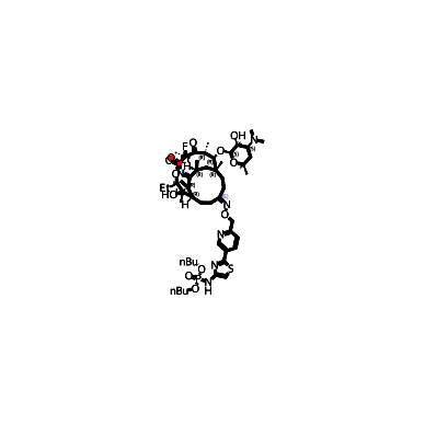 CCCCOP(=O)(Nc1csc(-c2ccc(CO/N=C3\CC[C@@H]4[C@@H](C)/C(=N/C(=O)CC)[C@H](C)C[C@@](C)(CC3)[C@H](O[C@@H]3O[C@H](C)C[C@H](N(C)C)[C@H]3O)[C@@H](C)C(=O)[C@](C)(F)C(=O)O[C@H](CC)[C@@]4(C)O)nc2)n1)OCCCC